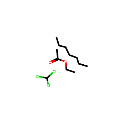 CCCCCCC.CCOC(C)=O.ClC(Cl)Cl